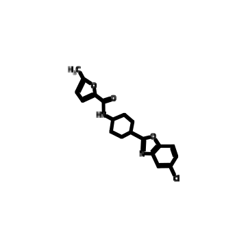 Cc1ccc(C(=O)NC2CCC(c3nc4cc(Cl)ccc4o3)CC2)o1